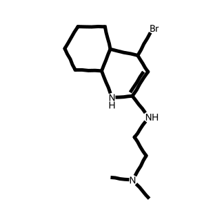 CN(C)CCNC1=CC(Br)C2CCCCC2N1